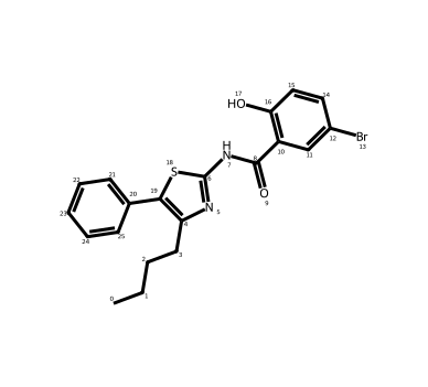 CCCCc1nc(NC(=O)c2cc(Br)ccc2O)sc1-c1ccccc1